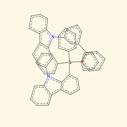 c1ccc(-c2cccc(-n3c4ccccc4c4ccc(-n5c6ccccc6c6cccc([Si](c7ccccc7)(c7ccccc7)c7ccccc7)c65)cc43)c2)cc1